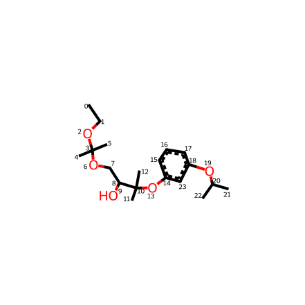 CCOC(C)(C)OCC(O)C(C)(C)Oc1cccc(OC(C)C)c1